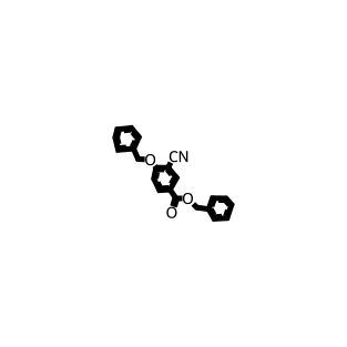 N#Cc1cc(C(=O)OCc2ccccc2)ccc1OCc1ccccc1